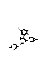 CNc1cc(C)c(F)c2c1[nH]c1nc(Oc3cnc(C)nc3)nc(N3CC4C(N)[C@H]4C3)c12